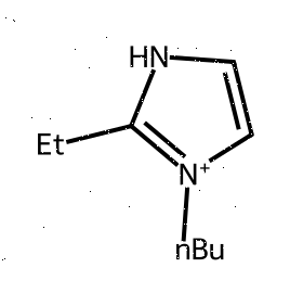 CCCC[n+]1cc[nH]c1CC